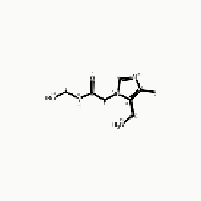 Cc1ncn(CC(=O)NCC(C)(C)C)c1CN